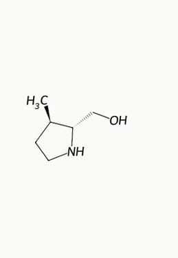 C[C@@H]1CCN[C@H]1CO